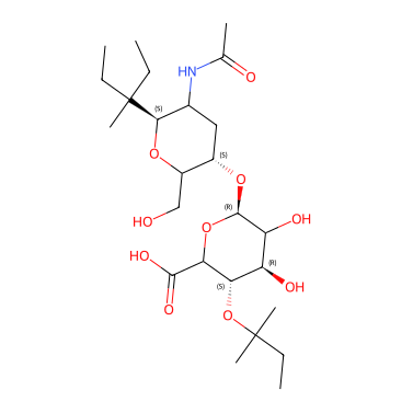 CCC(C)(C)O[C@@H]1C(C(=O)O)O[C@@H](O[C@H]2CC(NC(C)=O)[C@H](C(C)(CC)CC)OC2CO)C(O)[C@H]1O